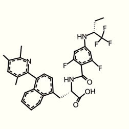 CC[C@@H](Nc1cc(F)c(C(=O)N[C@@H](Cc2ccc(-c3nc(C)c(C)cc3C)c3ccccc23)C(=O)O)c(F)c1)C(F)(F)F